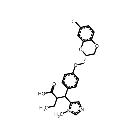 CCC(C(=O)O)C(c1ccc(OC[C@H]2COc3ccc(Cl)cc3O2)cc1)c1cncn1C